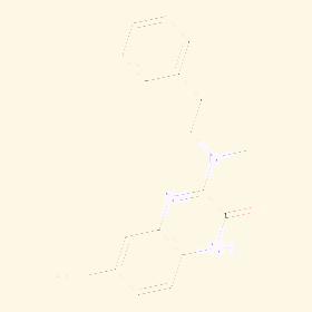 CN(CCc1ccccc1)c1nc2cc(C(=O)O)ccc2[nH]c1=O